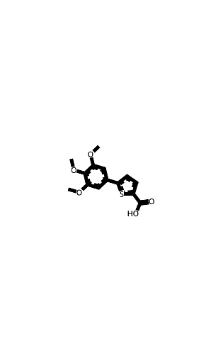 COc1cc(-c2ccc(C(=O)O)s2)cc(OC)c1OC